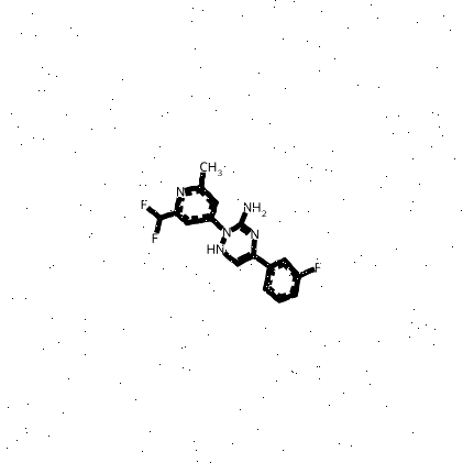 Cc1cc(N2NC=C(c3cccc(F)c3)N=C2N)cc(C(F)F)n1